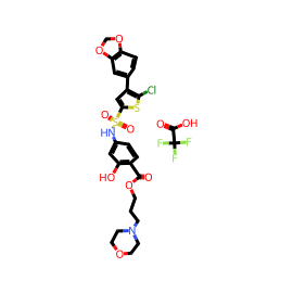 O=C(O)C(F)(F)F.O=C(OCCCN1CCOCC1)c1ccc(NS(=O)(=O)c2cc(-c3ccc4c(c3)OCO4)c(Cl)s2)cc1O